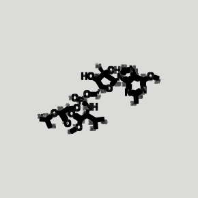 COC(=O)[C@@H](NP(=O)(OCC(=O)OC(C)C)OC[C@H]1O[C@@H](n2cnc3c(OC)nc(C)nc32)[C@@](C)(O)C1O)C(C)C